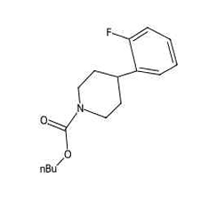 CCCCOC(=O)N1CCC(c2ccccc2F)CC1